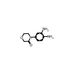 Nc1ccc(N2CCOCC2=O)cc1N